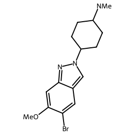 CNC1CCC(n2cc3cc(Br)c(OC)cc3n2)CC1